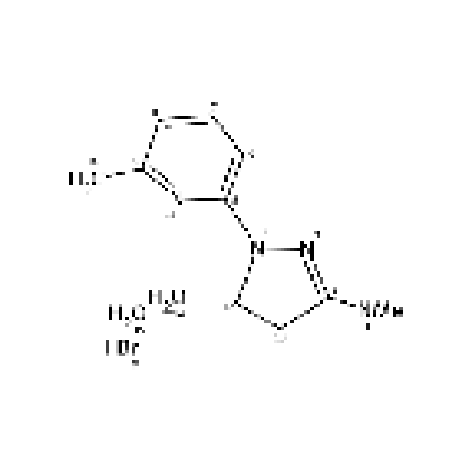 Br.CNC1=NN(c2cccc(C)n2)CC1.O.O